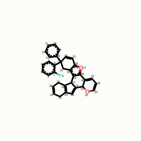 Fc1ccccc1C1(c2ccccc2)C=Cc2oc3c(c2C1)C1C(=CC2=C1CC=CC2)C1OC=CC=C31